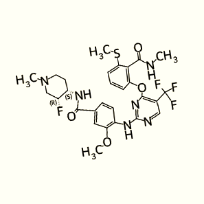 CNC(=O)c1c(Oc2nc(Nc3ccc(C(=O)N[C@H]4CCN(C)C[C@H]4F)cc3OC)ncc2C(F)(F)F)cccc1SC